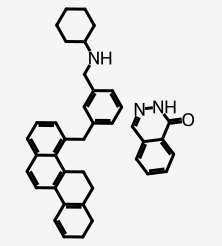 C1=CC2=C(CC1)CCc1c2ccc2cccc(Cc3cccc(CNC4CCCCC4)c3)c12.O=c1[nH]ncc2ccccc12